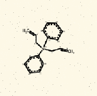 C=CC[Si](CC=C)(c1ccccc1)c1ccccc1